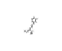 CC(=CCOCc1ccccc1)CBr